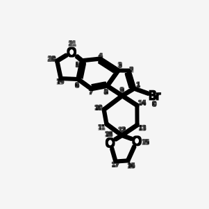 BrC1=Cc2cc3c(cc2C12CCC1(CC2)OCCO1)CCO3